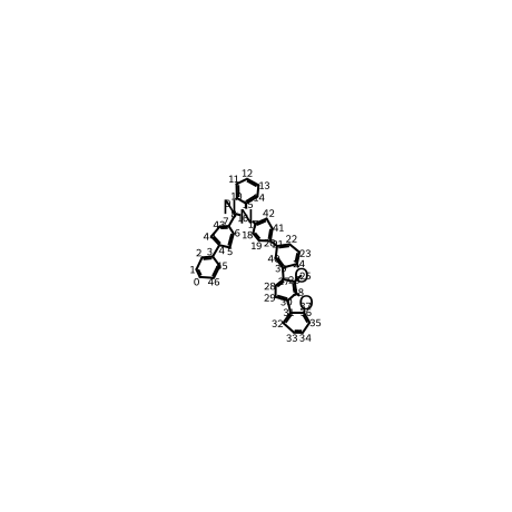 c1ccc(-c2ccc(-c3nc4ccccc4n3-c3ccc(-c4ccc5oc6c(ccc7c8ccccc8oc76)c5c4)cc3)cc2)cc1